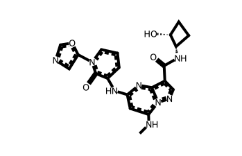 CNc1cc(Nc2cccn(-c3cnco3)c2=O)nc2c(C(=O)N[C@H]3CC[C@H]3O)cnn12